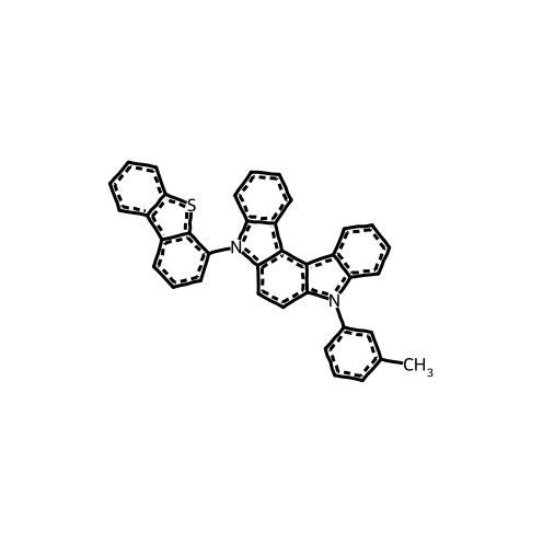 Cc1cccc(-n2c3ccccc3c3c4c5ccccc5n(-c5cccc6c5sc5ccccc56)c4ccc32)c1